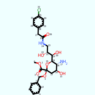 COC(=O)[C@@]1(OCc2ccccc2)C[C@H](O)[C@@H](N)[C@H]([C@H](O)[C@H](O)CNC(=O)Cc2ccc(Cl)cc2)O1